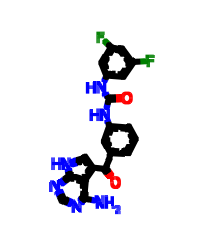 Nc1ncnc2[nH]cc(C(=O)c3cccc(NC(=O)Nc4cc(F)cc(F)c4)c3)c12